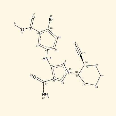 COC(=O)c1cc(Nc2nn([C@H]3CCCC[C@@H]3C#N)cc2C(N)=O)ccc1Br